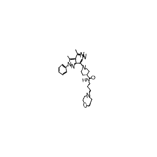 Cc1nnc(N2CCC(C(=O)NCCCN3CCOCC3)CC2)c2nn(-c3ccccc3)c(C)c12